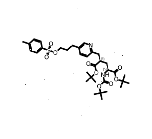 Cc1ccc(S(=O)(=O)OCCCc2ccc(C[C@@H](C[C@H](NC(=O)OC(C)(C)C)C(=O)OC(C)(C)C)C(=O)OC(C)(C)C)nc2)cc1